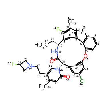 Cc1cccc2c1-c1cc(c(F)c(C(F)(F)F)c1)[C@@H](CC(=O)O)NC(=O)[C@@H](n1cc(CCN3CC(F)C3)c(C(F)(F)F)cc1=O)c1cc(Cl)cc(c1)O2